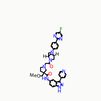 COCC1(C(=O)Nc2ccc3[nH]nc(-c4ccncc4)c3c2)CCN(CC(=O)N2C[C@@H]3C[C@H]2CN3c2ccc(-c3ncc(F)cn3)cc2)C1